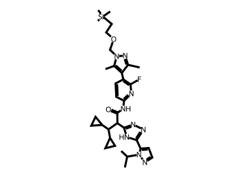 Cc1nn(COCC[Si](C)(C)C)c(C)c1-c1ccc(NC(=O)C(c2nnc(-c3ccnn3C(C)C)[nH]2)C(C2CC2)C2CC2)nc1F